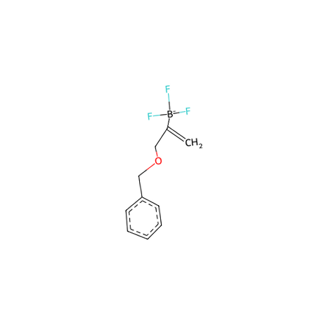 C=C(COCc1ccccc1)[B-](F)(F)F